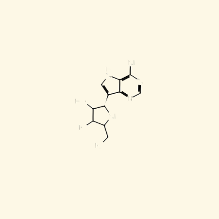 Nc1ncnc2c([C@H]3NC(CO)C(O)C3O)c[nH]c12